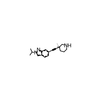 CC(C)n1cc2ccc(C#C[C@]3(C)CCCNC3)cc2n1